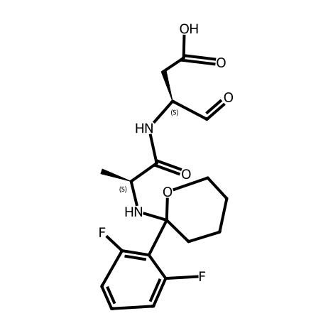 C[C@H](NC1(c2c(F)cccc2F)CCCCO1)C(=O)N[C@H](C=O)CC(=O)O